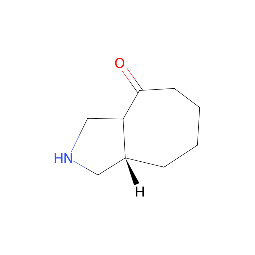 O=C1CCCC[C@@H]2CNCC12